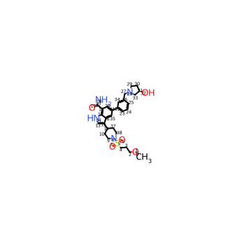 COCCCS(=O)(=O)N1CCC(c2c[nH]c3c(C(N)=O)cc(-c4cccc(CN5CC[C@@H](O)C5)c4)cc23)CC1